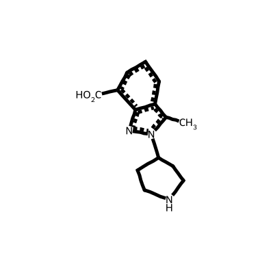 Cc1c2cccc(C(=O)O)c2nn1C1CCNCC1